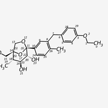 CCOc1ccc(Cc2cc([C@]34OC[C@](CO)(O3)[C@@H](C)[C@H](O)[C@H]4O)ccc2C)cc1